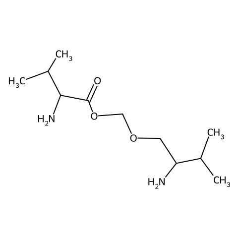 CC(C)C(N)COCOC(=O)C(N)C(C)C